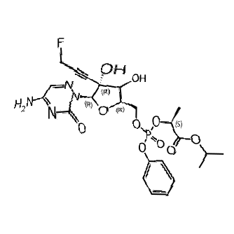 CC(C)OC(=O)[C@H](C)OP(=O)(OC[C@H]1O[C@@H](n2ncc(N)nc2=O)[C@@](O)(C#CCF)C1O)Oc1ccccc1